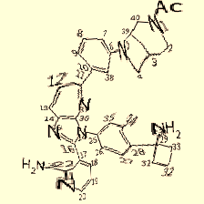 CC(=O)N1CC2CN(c3cccc(-c4ccc5nc(-c6cccnc6N)n(-c6ccc(C7(N)CCC7)cc6)c5n4)c3)C2C1